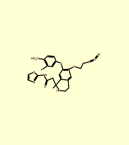 CC1(CC(=O)Nc2nccs2)NCCc2cc(OCCN=[N+]=[N-])c(Oc3ccc(C(=O)O)c(F)c3)cc21